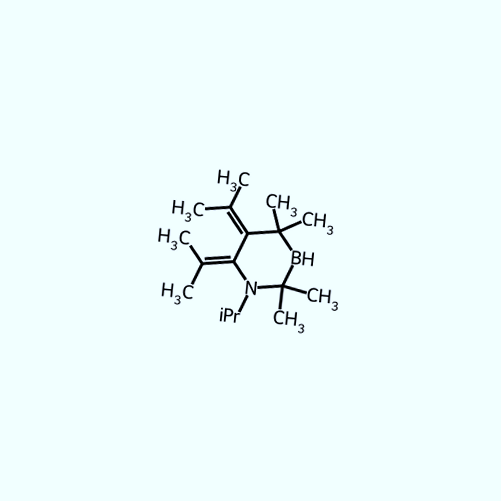 CC(C)=C1C(=C(C)C)C(C)(C)BC(C)(C)N1C(C)C